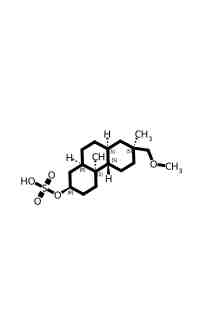 COC[C@@]1(C)CC[C@H]2[C@@H](CC[C@@H]3C[C@H](OS(=O)(=O)O)CC[C@@]32C)C1